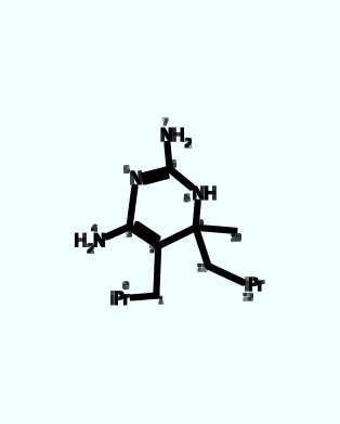 CC(C)CC1=C(N)N=C(N)NC1(C)CC(C)C